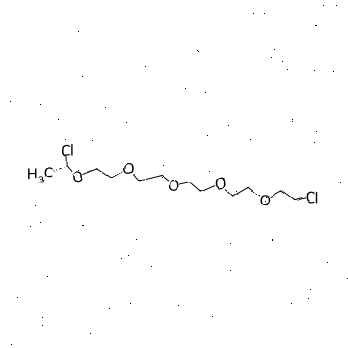 C[C@H](Cl)OCCOCCOCCOCCOCCCl